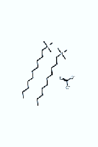 CCCCCCCCCC[N+](C)(C)C.CCCCCCCCCC[N+](C)(C)C.O=C([O-])[O-]